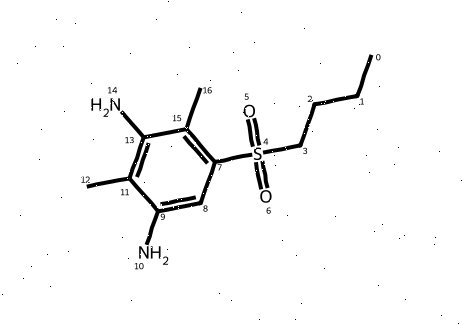 CCCCS(=O)(=O)c1cc(N)c(C)c(N)c1C